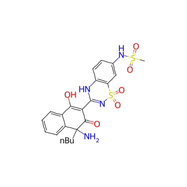 CCCCC1(N)C(=O)C(C2=NS(=O)(=O)c3cc(NS(C)(=O)=O)ccc3N2)=C(O)c2ccccc21